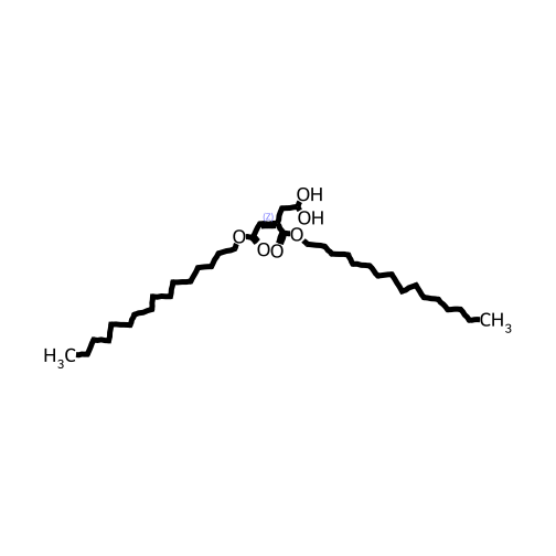 CCCCCCCCCCCCCCCCOC(=O)/C=C(/CC(O)O)C(=O)OCCCCCCCCCCCCCCCC